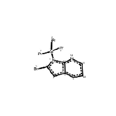 CC(C)[Si](C(C)C)(C(C)C)n1c(Br)cc2cccnc21